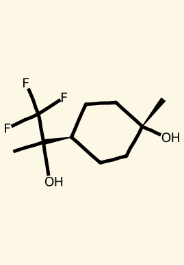 CC(O)([C@H]1CC[C@](C)(O)CC1)C(F)(F)F